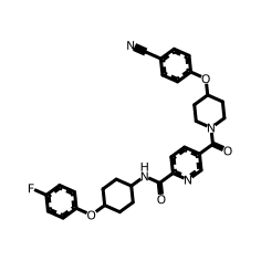 N#Cc1ccc(OC2CCN(C(=O)c3ccc(C(=O)NC4CCC(Oc5ccc(F)cc5)CC4)nc3)CC2)cc1